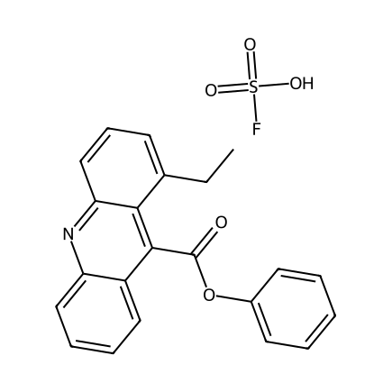 CCc1cccc2nc3ccccc3c(C(=O)Oc3ccccc3)c12.O=S(=O)(O)F